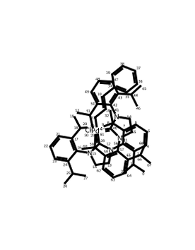 CC(C)c1cccc(C(C)C)c1N1CCN(c2c(C(C)C)cccc2C(C)C)[C]1=[Pd-4]([Cl])([CH2]C=Cc1ccccc1)=[C]1N(c2c(C(C)C)cccc2C(C)C)CCN1c1c(C(C)C)cccc1C(C)C